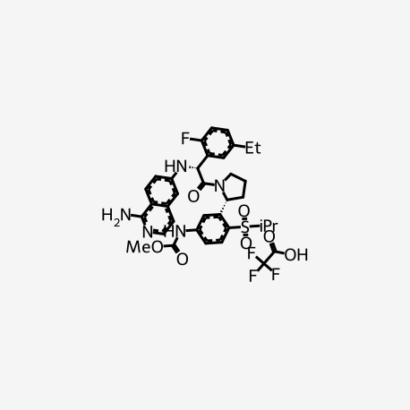 CCc1ccc(F)c([C@@H](Nc2ccc3c(N)nccc3c2)C(=O)N2CCC[C@@H]2c2cc(NC(=O)OC)ccc2S(=O)(=O)C(C)C)c1.O=C(O)C(F)(F)F